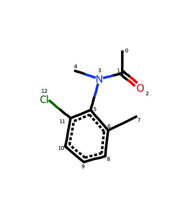 CC(=O)N(C)c1c(C)cccc1Cl